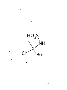 CCC(C)C(C)(Cl)NS(=O)(=O)O